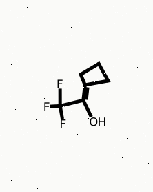 OC(=C1CCC1)C(F)(F)F